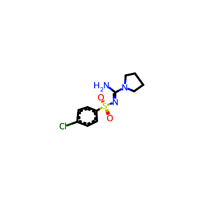 N/C(=N\S(=O)(=O)c1ccc(Cl)cc1)N1CCCC1